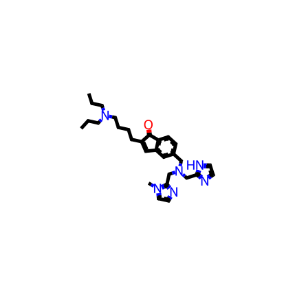 CCCN(CCC)CCCCC1=Cc2cc(CN(Cc3ncc[nH]3)Cc3nccn3C)ccc2C1=O